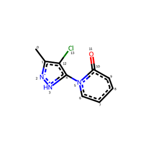 Cc1n[nH]c(-n2ccccc2=O)c1Cl